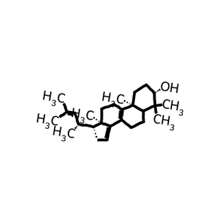 CC(C)=C[C@@H](C)[C@H]1CC=C2C3=C(CC[C@@]21C)[C@@]1(C)CC[C@H](O)C(C)(C)C1CC3